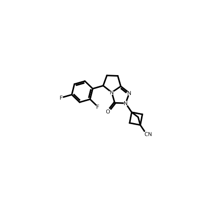 N#CC12CC(n3nc4n(c3=O)C(c3ccc(F)cc3F)CC4)(C1)C2